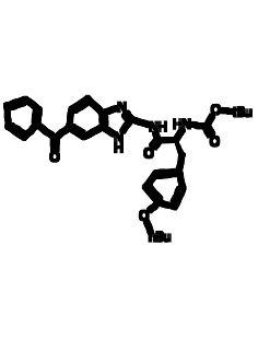 CCCCOc1ccc(C[C@H](NC(=O)OC(C)(C)C)C(=O)Nc2nc3ccc(C(=O)c4ccccc4)cc3[nH]2)cc1